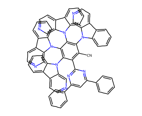 N#Cc1c(-c2nc(-c3ccccc3)cc(-c3ccccc3)n2)c(-n2c3ccccc3c3ccncc32)c(-n2c3ccccc3c3ccncc32)c(-n2c3ccccc3c3ccncc32)c1-n1c2ccccc2c2ccncc21